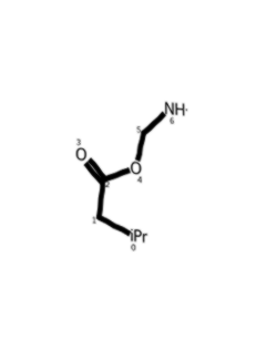 CC(C)CC(=O)OC[NH]